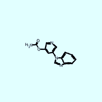 NC(=O)Oc1cncc(-n2cnc3ccccc32)c1